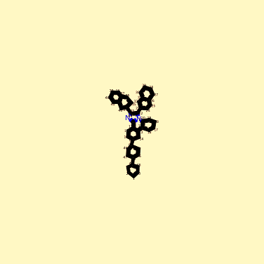 C1=CCCC(c2ccc(-c3ccc4c(c3)c3ccccc3n3c(-c5ccc6ccccc6c5)c(-c5ccc6ccccc6c5)nc43)cc2)=C1